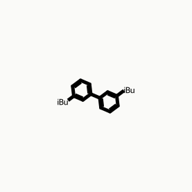 CCC(C)c1cccc(-c2cccc(C(C)CC)c2)c1